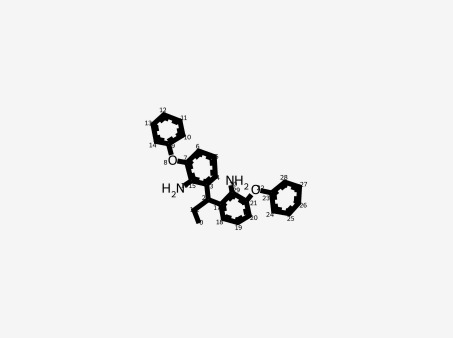 C[C]C(c1cccc(Oc2ccccc2)c1N)c1cccc(Oc2ccccc2)c1N